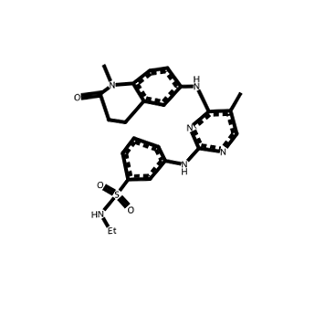 CCNS(=O)(=O)c1cccc(Nc2ncc(C)c(Nc3ccc4c(c3)CCC(=O)N4C)n2)c1